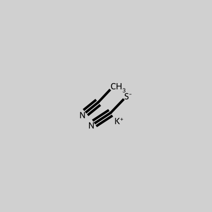 CC#N.N#C[S-].[K+]